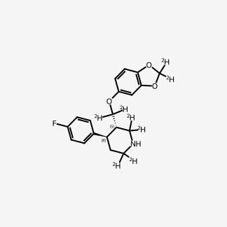 [2H]C1([2H])C[C@@H](c2ccc(F)cc2)[C@H](C([2H])([2H])Oc2ccc3c(c2)OC([2H])([2H])O3)C([2H])([2H])N1